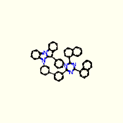 c1ccc(-c2c3ccccc3n3c4ccccc4n(-c4cccc(-c5cccc(-c6nc(-c7cccc8ccccc78)nc(-c7cccc8ccccc78)n6)c5)c4)c23)cc1